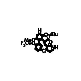 COc1c[nH]c(=O)c(C(CC2CCCNO2)C(=O)OC(C)(C)C)c1-c1cc(Cl)ccc1OCC(F)(F)F